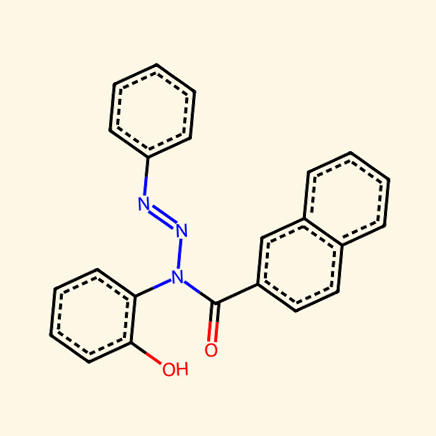 O=C(c1ccc2ccccc2c1)N(N=Nc1ccccc1)c1ccccc1O